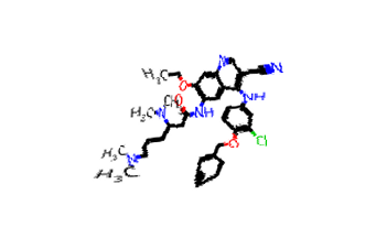 CCOc1cc2ncc(C#N)c(Nc3ccc(OCc4ccccc4)c(Cl)c3)c2cc1NC(=O)CC(CCCN(C)C)N(C)C